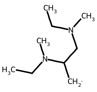 [CH2]C(CN(C)CC)N(C)CC